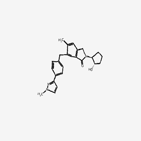 Cc1cc2c(cc1Cc1ccc(-c3ccn(C)n3)cc1)C(=O)N([C@H]1CCC[C@@H]1O)C2